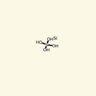 O[Si](O)(O)O.[Si]